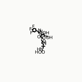 CO[C@@H]1[C@@H](n2cc(-c3cc(F)c(F)c(F)c3)nn2)[C@@H](O)[C@@H](CO)O[C@@H]1Cc1cc(C(C)(C)CNC(=O)O)no1